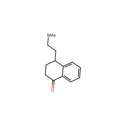 CNCCC1CCC(=O)c2ccccc21